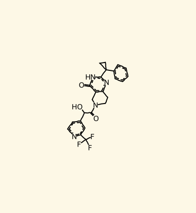 O=C(C(O)c1ccnc(C(F)(F)F)c1)N1CCc2nc(C3(c4ccccc4)CC3)[nH]c(=O)c2C1